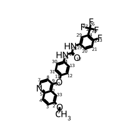 COc1ccc2nccc(Oc3ccc(NC(=O)Nc4ccc(F)c(C(F)(F)F)c4)cc3)c2c1